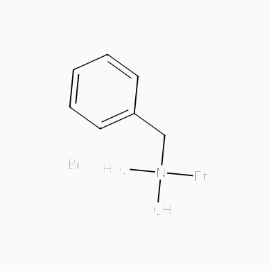 CC[N+](C)(C)Cc1ccccc1.[Br-]